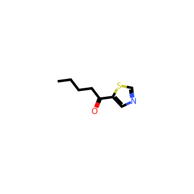 CCCCC(=O)c1cncs1